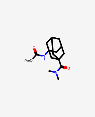 COC(=O)NC12CC3CC(C1)CC(C(=O)N(C)C)(C3)C2